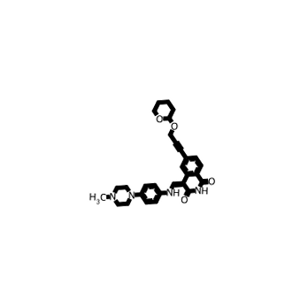 CN1CCN(c2ccc(N/C=C3\C(=O)NC(=O)c4ccc(C#CCOC5CCCCO5)cc43)cc2)CC1